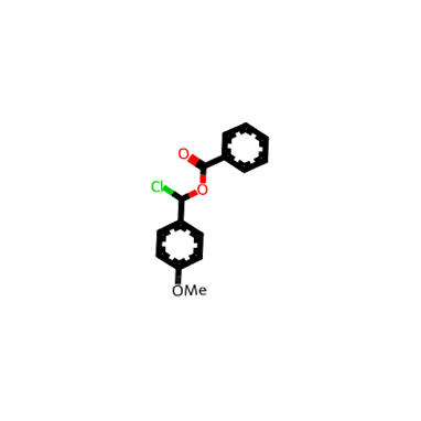 COc1ccc(C(Cl)OC(=O)c2ccccc2)cc1